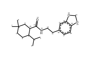 CC(C)C1CCC(C)(C)CC1C(=O)NCCc1ccc2c(c1)OCO2